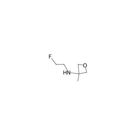 CC1(NCCF)COC1